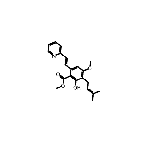 COC(=O)c1c(/C=C/c2ccccn2)cc(OC)c(CC=C(C)C)c1O